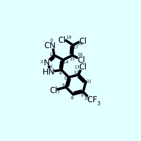 N#Cc1n[nH]c(-c2c(Cl)cc(C(F)(F)F)cc2Cl)c1C(Cl)=C(Cl)Cl